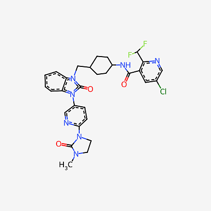 CN1CCN(c2ccc(-n3c(=O)n(CC4CCC(NC(=O)c5cc(Cl)cnc5C(F)F)CC4)c4ccccc43)cn2)C1=O